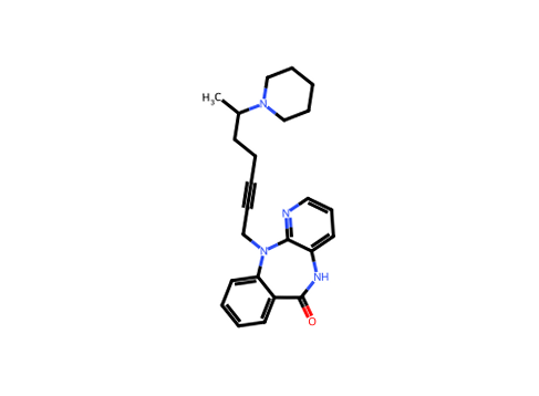 CC(CCC#CCN1c2ccccc2C(=O)Nc2cccnc21)N1CCCCC1